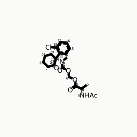 CC(=O)N[C@@H](C)C(=O)OCOC(=O)N(C)[C@@]1(c2ccccc2Cl)CCCCC1=O